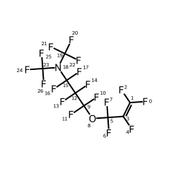 FC(F)=C(F)C(F)(F)OC(F)(F)C(F)(F)C(F)(F)N(C(F)(F)F)C(F)(F)F